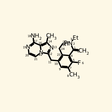 C=C(NCC)c1c(F)c(C)cc(Cc2nc(C)c3c(N)nccn23)c1CC(C)C